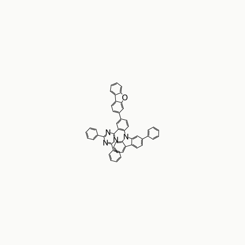 c1ccc(-c2ccc3c4ccccc4n(-c4ccc(-c5ccc6c(c5)oc5ccccc56)cc4-c4nc(-c5ccccc5)nc(-c5ccccc5)n4)c3c2)cc1